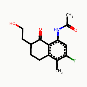 CC(=O)Nc1cc(F)c(C)c2c1C(=O)C(CCO)CC2